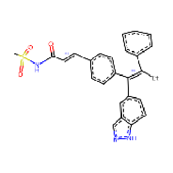 CC/C(=C(/c1ccc(/C=C/C(=O)NS(C)(=O)=O)cc1)c1ccc2[nH]ncc2c1)c1ccccc1